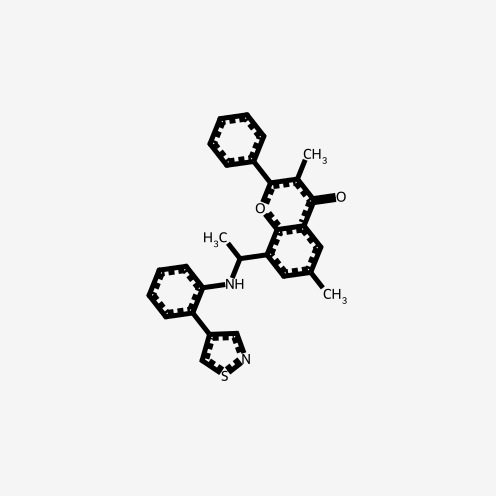 Cc1cc(C(C)Nc2ccccc2-c2cnsc2)c2oc(-c3ccccc3)c(C)c(=O)c2c1